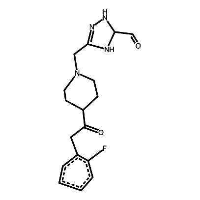 O=CC1NN=C(CN2CCC(C(=O)Cc3ccccc3F)CC2)N1